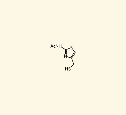 CC(=O)Nc1nc(CS)cs1